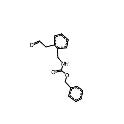 O=CCc1ccccc1CNC(=O)OCc1ccccc1